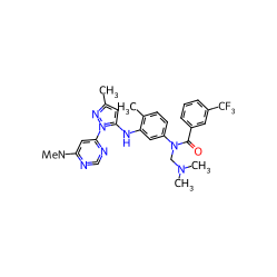 CNc1cc(-n2nc(C)cc2Nc2cc(N(CN(C)C)C(=O)c3cccc(C(F)(F)F)c3)ccc2C)ncn1